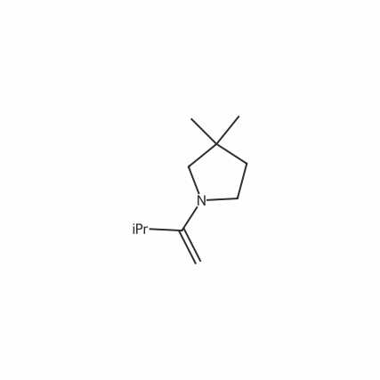 C=C(C(C)C)N1CCC(C)(C)C1